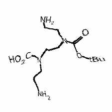 CC(C)(C)OC(=O)N(CCN)CCN(CCN)C(=O)O